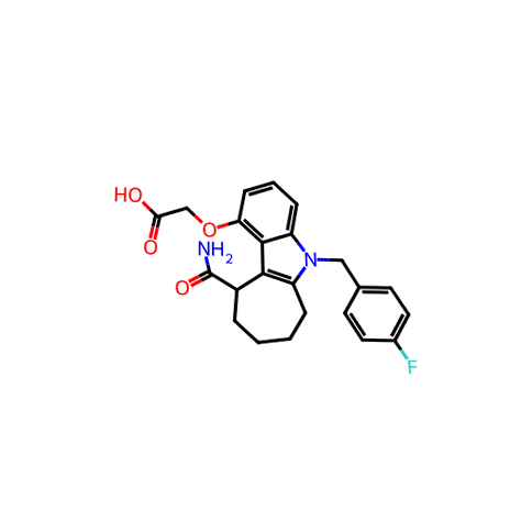 NC(=O)C1CCCCc2c1c1c(OCC(=O)O)cccc1n2Cc1ccc(F)cc1